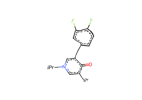 CC(C)c1cn(C(C)C)cc(-c2ccc(F)c(F)c2)c1=O